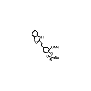 CCCCS(=O)(=O)Oc1ccc(C=CC(=O)Nc2ccccc2I)cc1OC